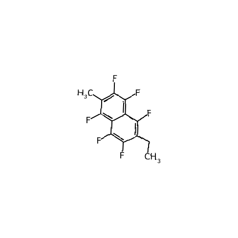 CCc1c(F)c(F)c2c(F)c(C)c(F)c(F)c2c1F